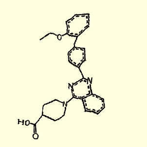 CCOc1ccccc1-c1ccc(-c2nc(N3CCC(C(=O)O)CC3)c3ccccc3n2)cc1